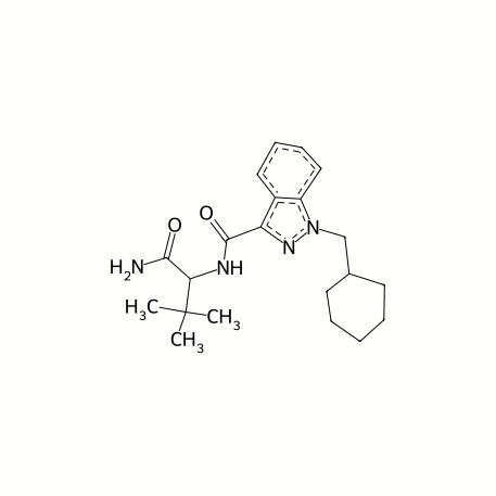 CC(C)(C)C(NC(=O)c1nn(CC2CCCCC2)c2ccccc12)C(N)=O